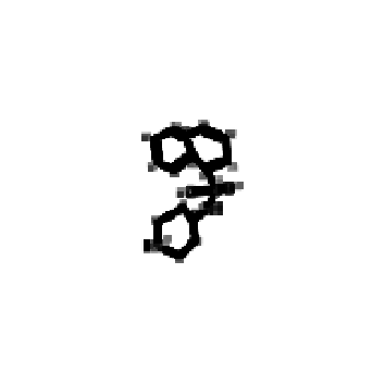 O=S(=O)(NC1CCNCC1)c1cc[c]c2ccccc12